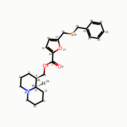 O=C(OC[C@@H]1CCCN2CCCC[C@H]12)c1ccc(CSCc2ccccc2)o1